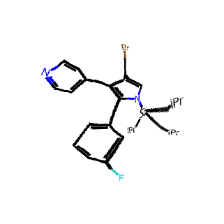 CC(C)[Si](C(C)C)(C(C)C)n1cc(Br)c(-c2ccncc2)c1-c1cccc(F)c1